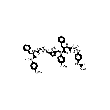 COC(=O)Nc1ccc(NS(=O)(=O)NC(=O)NC(Cc2ccccc2)C(=O)N(Cc2cnc(CNS(=O)(=O)NC(=O)N[C@@H](Cc3ccccc3)C(=O)N(C)c3ccc(OC)cc3)n2C)c2ccc(OC)cc2)cc1